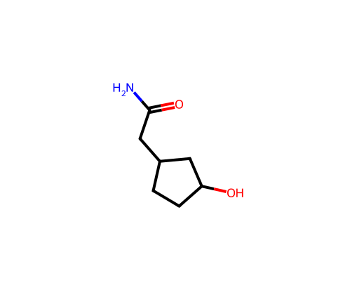 NC(=O)CC1CCC(O)C1